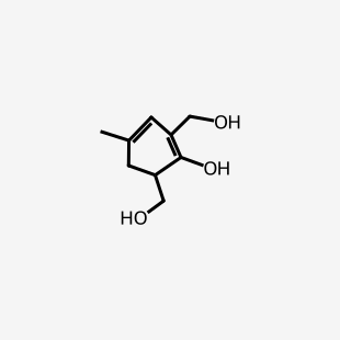 CC1=CC(CO)=C(O)C(CO)C1